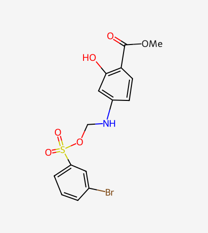 COC(=O)c1ccc(NCOS(=O)(=O)c2cccc(Br)c2)cc1O